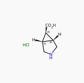 Cl.O=C(O)[C@H]1[C@@H]2CNC[C@@H]21